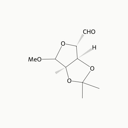 COC1O[C@H](C=O)[C@H]2OC(C)(C)O[C@@]12C